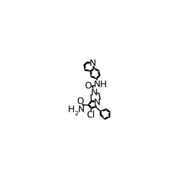 NC(=O)c1c(Cl)c(-c2ccccc2)n2c1CN(C(=O)Nc1ccc3ncccc3c1)CC2